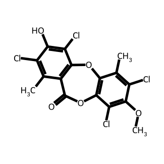 COc1c(Cl)c(C)c2c(c1Cl)OC(=O)c1c(C)c(Cl)c(O)c(Cl)c1O2